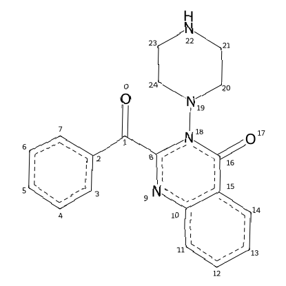 O=C(c1ccccc1)c1nc2ccccc2c(=O)n1N1CCNCC1